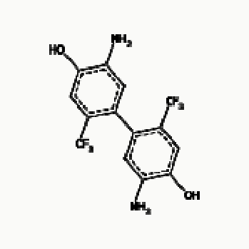 Nc1cc(-c2cc(N)c(O)cc2C(F)(F)F)c(C(F)(F)F)cc1O